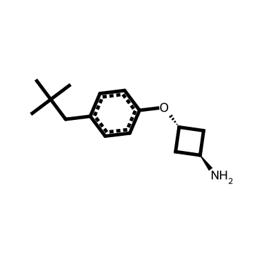 CC(C)(C)Cc1ccc(O[C@H]2C[C@H](N)C2)cc1